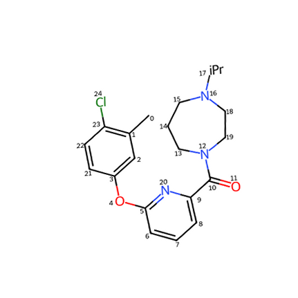 Cc1cc(Oc2cccc(C(=O)N3CCCN(C(C)C)CC3)n2)ccc1Cl